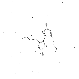 CCCCc1cc(Br)sc1-c1sc(Br)cc1CCCC